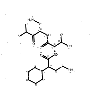 CC(C)C(=O)[C@H](CN)NC(=O)[C@@H](NC(=O)C(CCN)C1CCCCC1)C(C)O